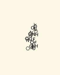 CC(C)(C)OC(=O)N1CCCC(Nc2nccc(-c3cccnc3Oc3ccc(NS(=O)(=O)CC4CCCCC4)c(F)c3F)n2)C1